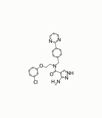 Nc1n[nH]cc1C(=O)N(CCOc1cccc(Cl)c1)Cc1ccc(-c2ncccn2)cc1